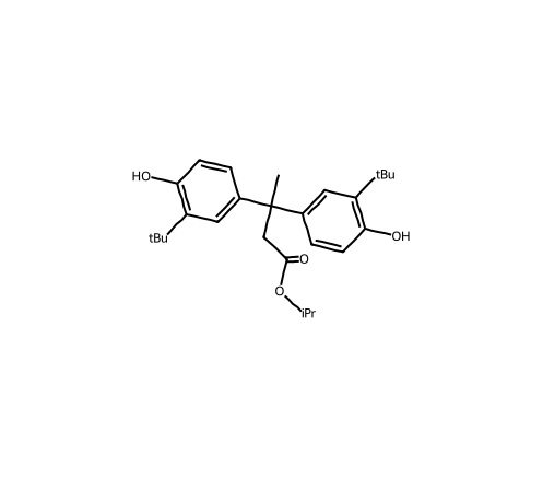 CC(C)OC(=O)CC(C)(c1ccc(O)c(C(C)(C)C)c1)c1ccc(O)c(C(C)(C)C)c1